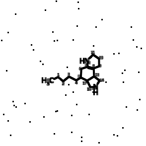 CCCCCC1CC2=C(CCCN2)C2CNCC12